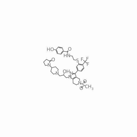 CS(=O)(=O)N1CCc2c(c(-c3ccc(C(F)(F)F)c(SCCNC(=O)c4ccc(O)cc4)c3)nn2CC(O)CN2CCC(N3CCCC3=O)CC2)C1